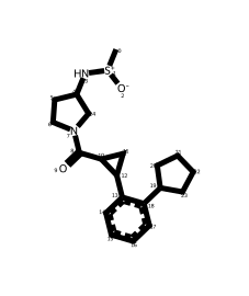 C[S+]([O-])NC1CCN(C(=O)C2CC2c2ccccc2C2CCCC2)C1